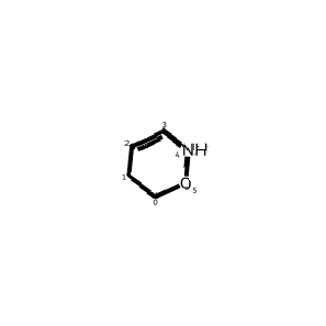 [C]1CC=CNO1